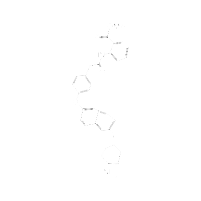 COC(=O)c1ccccc1NC(=O)Cc1ccc(Oc2ccc3cc(O[C@H]4CC[C@@H](N)CC4)ccc3c2)cc1